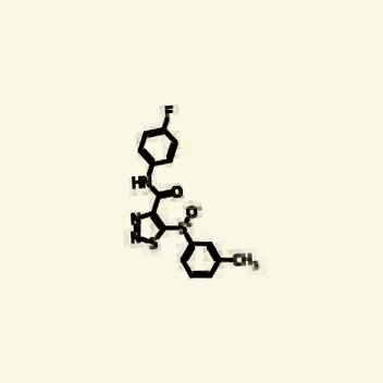 Cc1cccc([S+]([O-])c2snnc2C(=O)Nc2ccc(F)cc2)c1